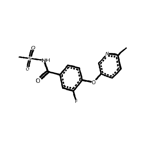 Cc1ccc(Oc2ccc(C(=O)NS(C)(=O)=O)cc2F)cn1